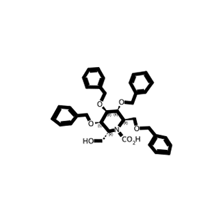 O=C(O)N1[C@H](CO)[C@H](OCc2ccccc2)[C@@H](OCc2ccccc2)[C@H](OCc2ccccc2)[C@H]1COCc1ccccc1